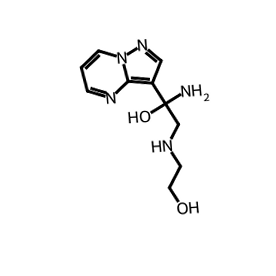 NC(O)(CNCCO)c1cnn2cccnc12